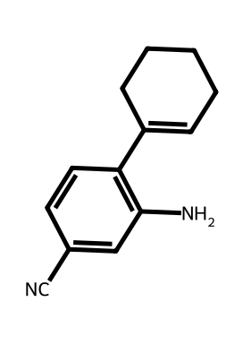 N#Cc1ccc(C2=CCCCC2)c(N)c1